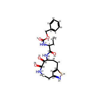 CC(C)CC(NC(=O)OCc1ccccc1)C(=O)NC1CCc2cc(ns2)CCNC(=O)C1=O